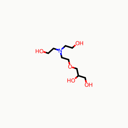 OCCN(CCO)CCOCC(O)CO